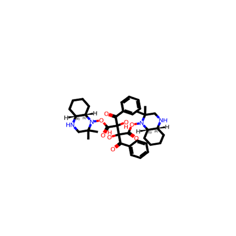 CC1(C)CN[C@@H]2CCCC[C@@H]2N1OC(=O)C(O)(C(=O)c1ccccc1)C(O)(C(=O)ON1[C@H]2CCCC[C@H]2NCC1(C)C)C(=O)c1ccccc1